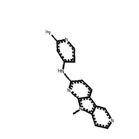 Cn1c2ccncc2c2ccc(Nc3ccnc([18F])c3)nc21